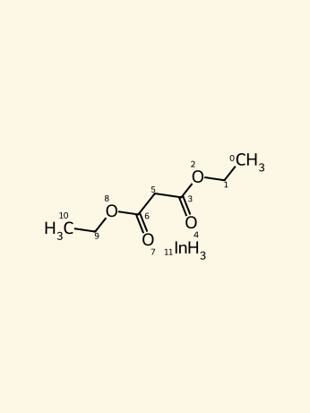 CCOC(=O)CC(=O)OCC.[InH3]